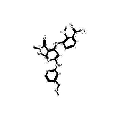 COCc1ccnc(Nc2cc(Nc3cccc(C(N)=O)c3OC)c3c(=O)n(C)[nH]c3n2)c1